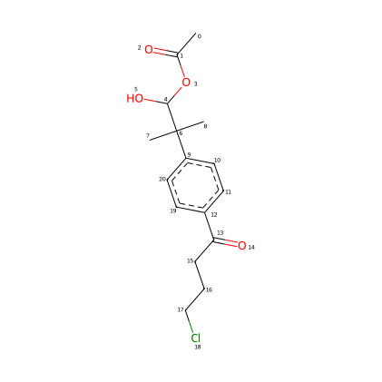 CC(=O)OC(O)C(C)(C)c1ccc(C(=O)CCCCl)cc1